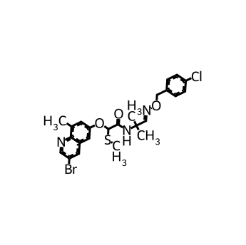 CSC(Oc1cc(C)c2ncc(Br)cc2c1)C(=O)NC(C)(C)C=NOCc1ccc(Cl)cc1